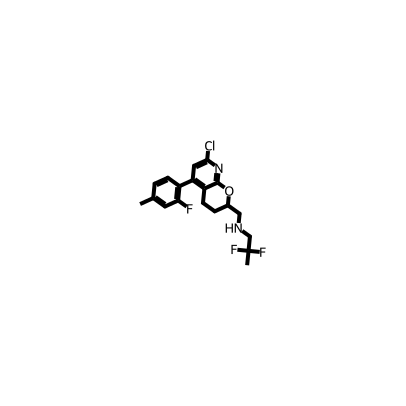 Cc1ccc(-c2cc(Cl)nc3c2CCC(CNCC(C)(F)F)O3)c(F)c1